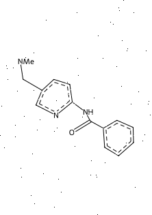 CNCc1ccc(NC(=O)c2ccccc2)nc1